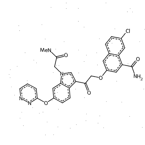 CNC(=O)Cn1cc(C(=O)COc2cc(C(N)=O)c3cc(Cl)ccc3c2)c2ccc(Oc3cccnn3)cc21